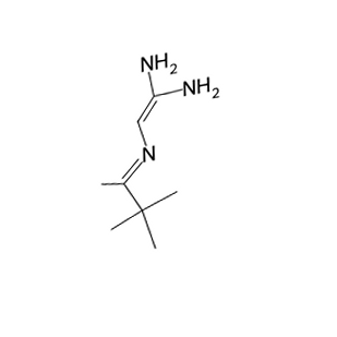 C/C(=N\C=C(N)N)C(C)(C)C